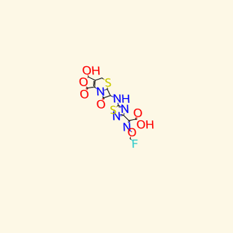 O=C1OC(O)C2=C1N1C(=O)C(Nc3nc(/C(=N/OCF)C(=O)O)ns3)C1SC2